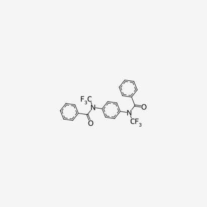 O=C(c1ccccc1)N(c1ccc(N(C(=O)c2ccccc2)C(F)(F)F)cc1)C(F)(F)F